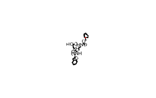 O=C(O)CNC(=O)[C@H](CCCNC(=O)OCc1ccccc1)NC(=O)c1cc2ccccc2o1